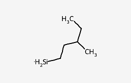 CCC(C)CC[SiH2]